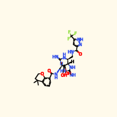 CC1(C)CCOc2c(C(=O)N[C@H]3CN4C(=N)N[C@@H](CNC(=O)c5cc(C(F)(F)F)[nH]n5)[C@@H]5NC(=N)N[C@@]54C3(O)O)cccc21